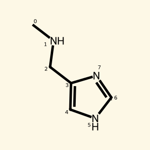 CNCc1c[nH][c]n1